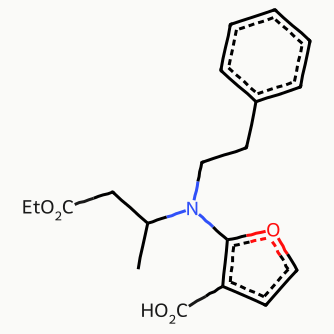 CCOC(=O)CC(C)N(CCc1ccccc1)c1occc1C(=O)O